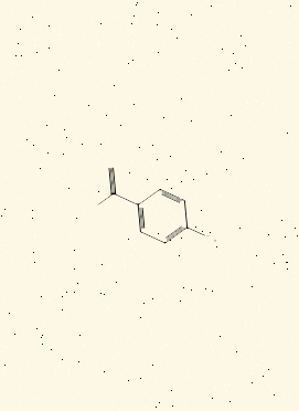 C=C(O)c1ccc(Br)cc1